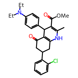 CCN(CC)c1ccc(C2C(C(=O)OC)=C(C)NC3=C2C(=O)CC(c2ccccc2Cl)C3)cc1